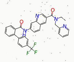 CCN(Cc1ccccn1)C(=O)c1cnc2cc(NC(=O)c3ccccc3-c3ccc(C(F)(F)F)cc3)ccc2c1